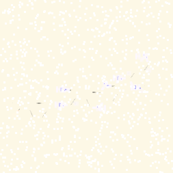 CC(=O)c1ccc(CN/C=C(\C=N)C2=CNC3C=CC(N/C(N)=C/C(=C\N)C(C)C)=NC3=C2)cc1